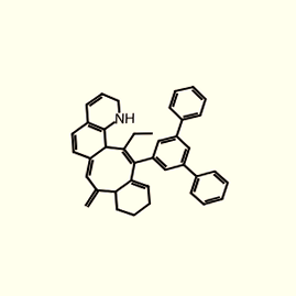 C=C1/C=C2/C=CC3=C(NCC=C3)C2/C(CC)=C(/c2cc(-c3ccccc3)cc(-c3ccccc3)c2)C2=CCCCC12